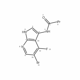 CC(C)C(=O)Nc1c[nH]c2ncc(Br)c(F)c12